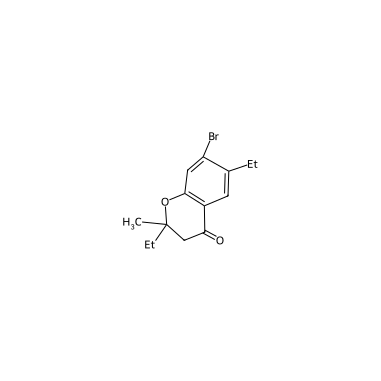 CCc1cc2c(cc1Br)OC(C)(CC)CC2=O